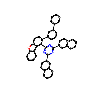 c1ccc(-c2cccc(-c3ccc4oc5ccccc5c4c3-c3nc(-c4ccc5ccccc5c4)nc(-c4ccc5ccccc5c4)n3)c2)cc1